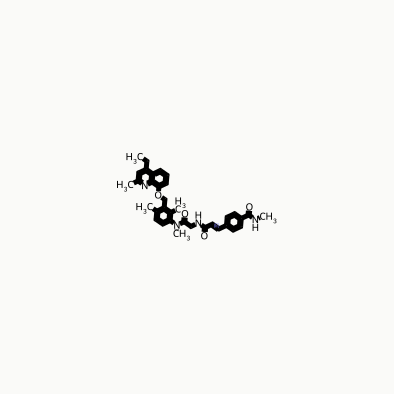 CCc1cc(C)nc2c(OCc3c(C)ccc(N(C)C(=O)CNC(=O)/C=C/c4ccc(C(=O)NC)cc4)c3C)cccc12